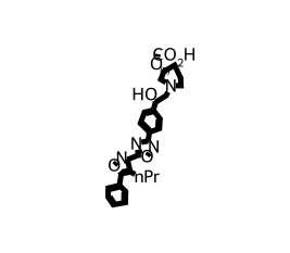 CCCc1c(-c2nc(-c3ccc(C(O)CN4CCC[C@@H](OC(=O)O)C4)cc3)no2)noc1-c1ccccc1